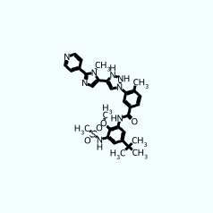 COc1c(NC(=O)c2ccc(C)c(N3C=C(c4cnc(-c5ccncc5)n4C)NN3)c2)cc(C(C)(C)C)cc1NS(C)(=O)=O